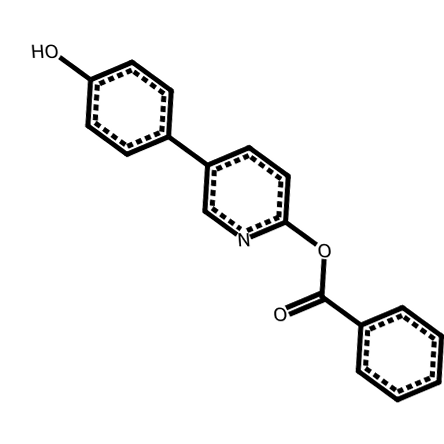 O=C(Oc1ccc(-c2ccc(O)cc2)cn1)c1ccccc1